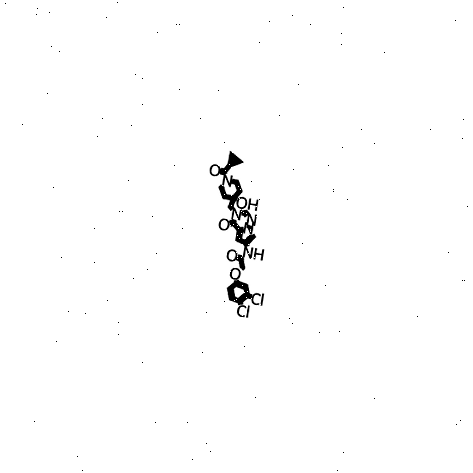 O=C(COc1ccc(Cl)c(Cl)c1)Nc1cc2c(=O)n(CC3(O)CCN(C(=O)C4CC4)CC3)cnn2c1